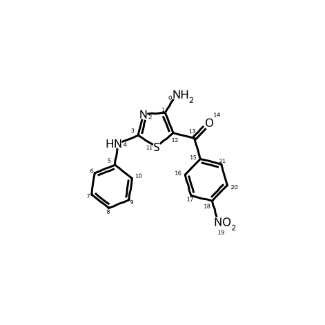 Nc1nc(Nc2ccccc2)sc1C(=O)c1ccc([N+](=O)[O-])cc1